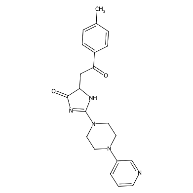 Cc1ccc(C(=O)CC2NC(N3CCN(c4cccnc4)CC3)=NC2=O)cc1